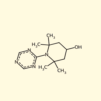 CC1(C)CC(O)CC(C)(C)N1c1ncncn1